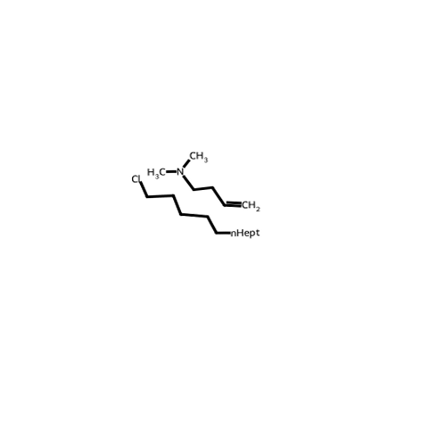 C=CCCN(C)C.CCCCCCCCCCCCCl